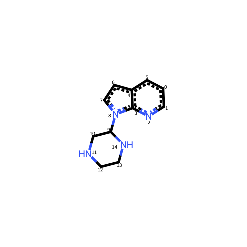 c1cnc2c(c1)ccn2C1CNCCN1